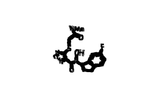 CNC(=O)CSc1nonc1C(=O)N(O)C1CCc2ccc(F)cc21